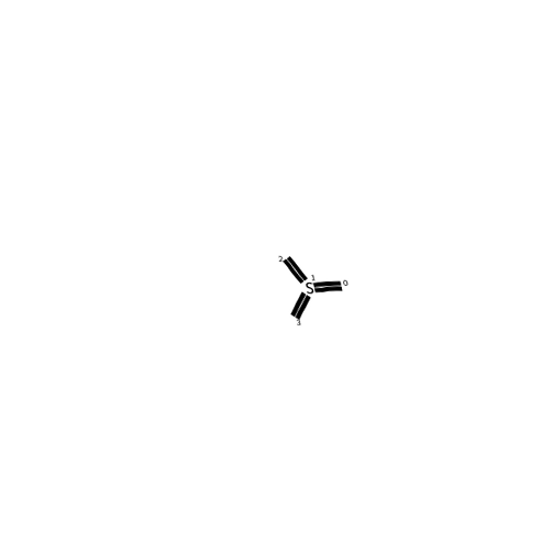 C=S(=C)=C